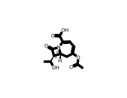 CC(=O)OC1=CC=C(C(=O)O)N2C(=O)[C@H](C(C)O)[C@H]2C1